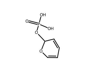 O=P(O)(O)OC1C=CC=CO1